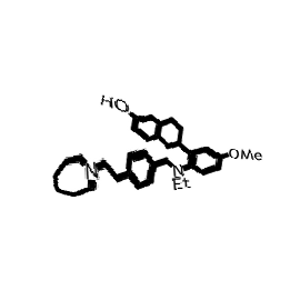 CCN(Cc1ccc(CCN2CCCCCC2)cc1)c1ccc(OC)cc1C1CCc2cc(O)ccc2C1